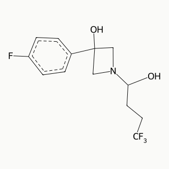 OC(CCC(F)(F)F)N1CC(O)(c2ccc(F)cc2)C1